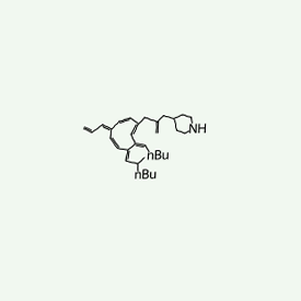 C=C/C=C1C=CC(=C/C(C)CCCC)/C(=C\CCCC)/C=C(CC(=C)CC2CCNCC2)/C=C\1